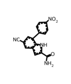 N#Cc1cc(-c2ccc([N+](=O)[O-])cc2)c2[nH]c(C(N)=O)cc2c1